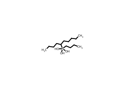 CCCCCC(CCCC)P(O)(O)(O)CCCC